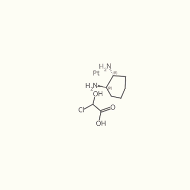 N[C@@H]1CCCC[C@H]1N.O=C(O)C(O)Cl.[Pt]